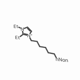 CCCCCCCCCCCCCCC[n+]1ccn(CC)c1CC